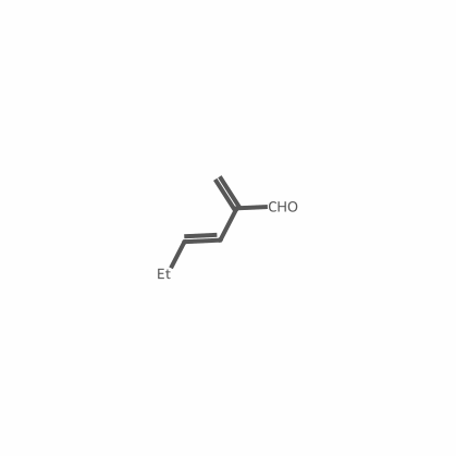 C=C(C=O)C=CCC